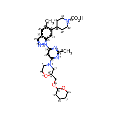 Cc1nc(N2CCO[C@H](COC3CCCCO3)C2)cc(-n2ncc3cc(C)c(C4CCN(C(=O)O)CC4)cc32)n1